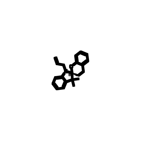 C=CCN1c2ccccc2C(C)(C)[C@@]12CCc1ccccc1O2